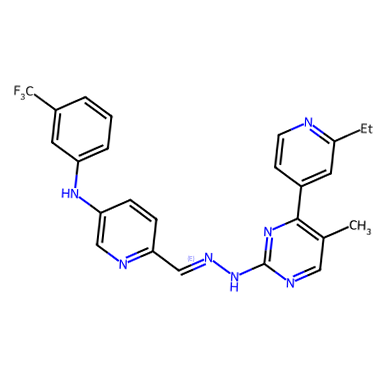 CCc1cc(-c2nc(N/N=C/c3ccc(Nc4cccc(C(F)(F)F)c4)cn3)ncc2C)ccn1